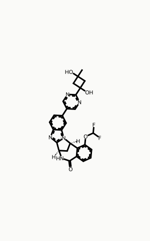 CC1(O)CC(O)(c2ncc(-c3ccc4nc5n(c4c3)[C@@H]3C[C@H]5NC(=O)c4cccc(OC(F)F)c43)cn2)C1